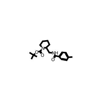 Cc1ccc(C(=O)NCC2CCCCN2C(=O)OC(C)(C)C)cc1